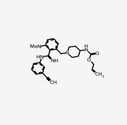 C#Cc1cccc(NC(=N)c2c(CN3CCC(NC(=O)OCC=C)CC3)cccc2NC)c1